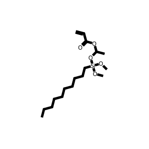 C=CC(=O)OC(C)O[Si](CCCCCCCCCC)(OC)OC